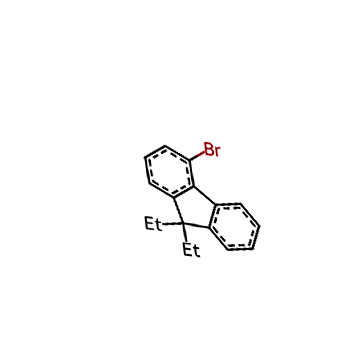 CCC1(CC)c2ccccc2-c2c(Br)cccc21